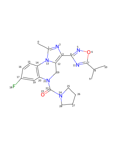 Cc1nc(-c2noc(C(C)C)n2)c2n1-c1ccc(F)cc1N(C(=O)N1CCCC1)C2